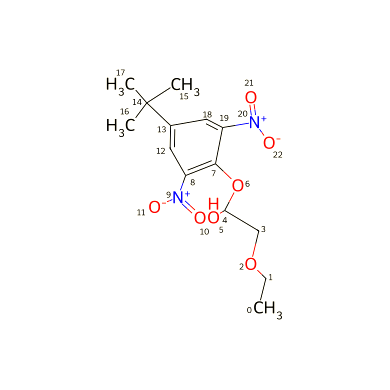 CCOCC(O)Oc1c([N+](=O)[O-])cc(C(C)(C)C)cc1[N+](=O)[O-]